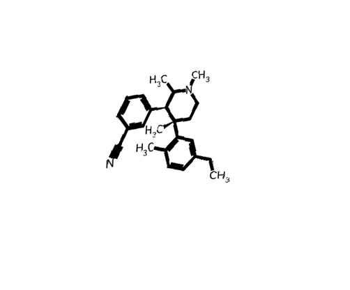 CCc1ccc(C)c([C@@]2(C)CCN(C)C(C)[C@@H]2c2cccc(C#N)c2)c1